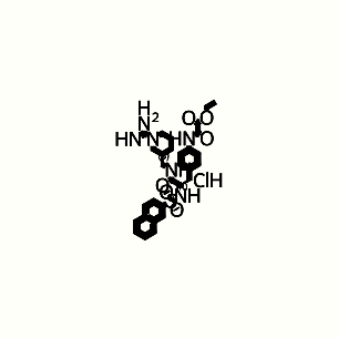 CCOC(=O)C(=O)Nc1ccc(C[C@@H](NS(=O)(=O)c2ccc3ccccc3c2)C(=O)NC[C@@H]2CCCN(C(=N)N)C2)cc1.Cl